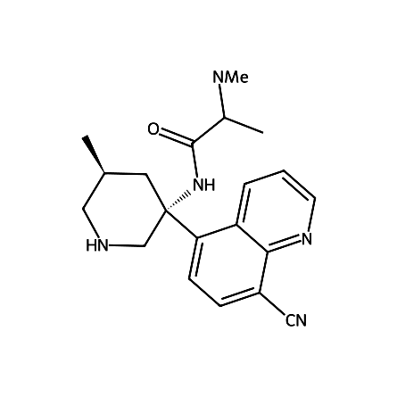 CNC(C)C(=O)N[C@]1(c2ccc(C#N)c3ncccc23)CNC[C@@H](C)C1